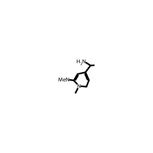 CNC1=CC(C(C)N)=CCN1C